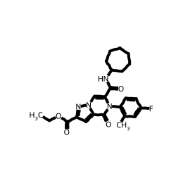 CCOC(=O)c1cc2c(=O)n(-c3ccc(F)cc3C)c(C(=O)NC3CCCCCC3)cn2n1